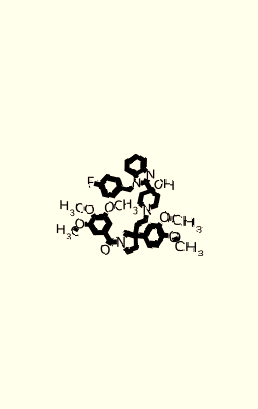 COc1ccc(C2(CCN3CCC(O)(c4nc5ccccc5n4Cc4ccc(F)cc4)CC3)CCN(C(=O)c3cc(OC)c(OC)c(OC)c3)C2)cc1OC